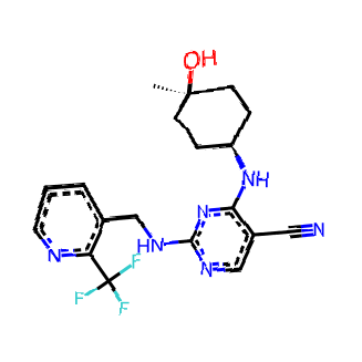 C[C@]1(O)CC[C@@H](Nc2nc(NCc3cccnc3C(F)(F)F)ncc2C#N)CC1